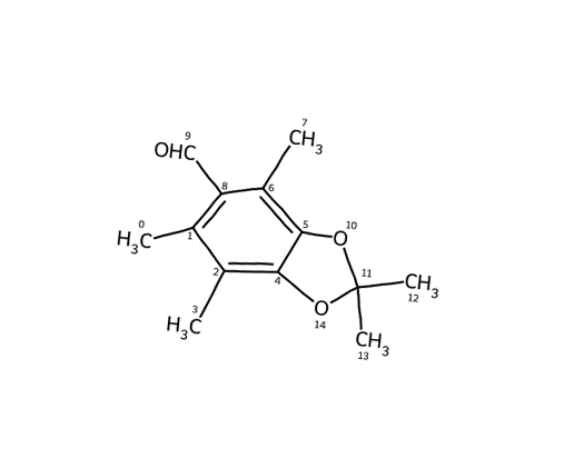 Cc1c(C)c2c(c(C)c1C=O)OC(C)(C)O2